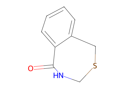 O=C1NCSCc2ccccc21